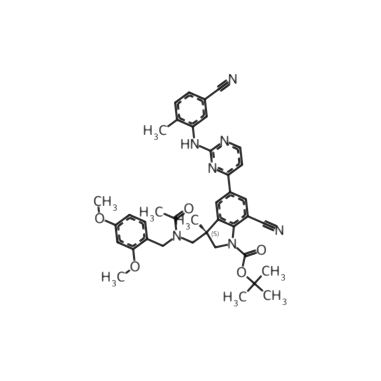 COc1ccc(CN(C[C@@]2(C)CN(C(=O)OC(C)(C)C)c3c(C#N)cc(-c4ccnc(Nc5cc(C#N)ccc5C)n4)cc32)C(C)=O)c(OC)c1